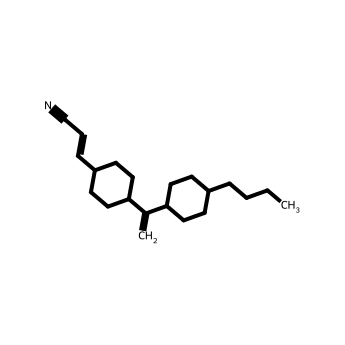 C=C(C1CCC(C=CC#N)CC1)C1CCC(CCCC)CC1